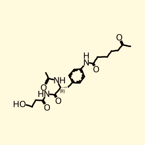 CC(=O)CCCCC(=O)Nc1ccc(C[C@@H](NC(C)=O)C(=O)NC(=O)CCO)cc1